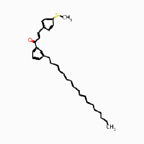 CCCCCCCCCCCCCCCCCCc1cccc(C(=O)/C=C/c2ccc(SC)cc2)c1